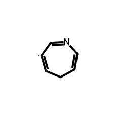 [C]1=CCC=CN=C1